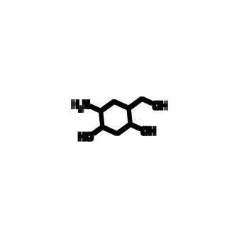 NC1CC(CO)C(O)CC1O